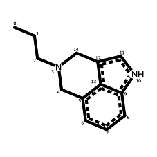 CCCN1Cc2cccc3[nH]cc(c23)C1